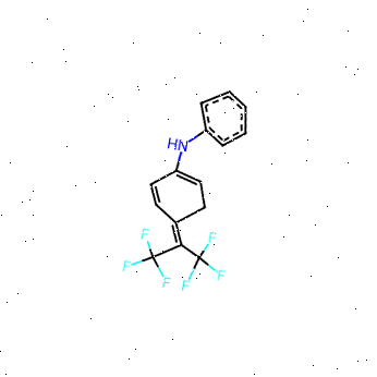 FC(F)(F)C(=C1C=CC(Nc2ccccc2)=CC1)C(F)(F)F